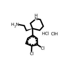 Cl.Cl.NCC[C@]1(c2ccc(Cl)c(Cl)c2)CCCNC1